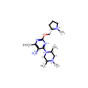 CCOC(=O)c1nc(OC[C@@H]2CCCN2C)nc(N2CC(C)N(C)CC2C)c1N